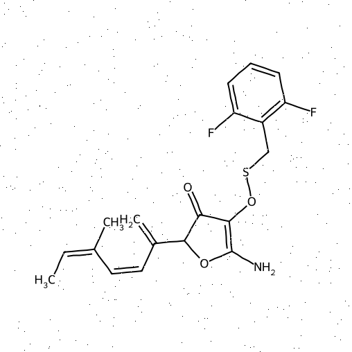 C=C(/C=C\C(C)=C/C)C1OC(N)=C(OSCc2c(F)cccc2F)C1=O